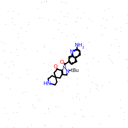 CC(C)(C)N1CC2=C(C(=O)CC3(CCNCC3)C2)N1C(=O)c1ccc2ccc(N)nc2c1